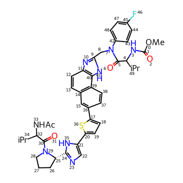 COC(=O)NC(C(=O)N(Cc1nc2ccc3cc(-c4ccc(-c5cnc([C@@H]6CCCN6C(=O)C(NC(C)=O)C(C)C)[nH]5)s4)ccc3c2[nH]1)c1ccc(F)cc1)C(C)C